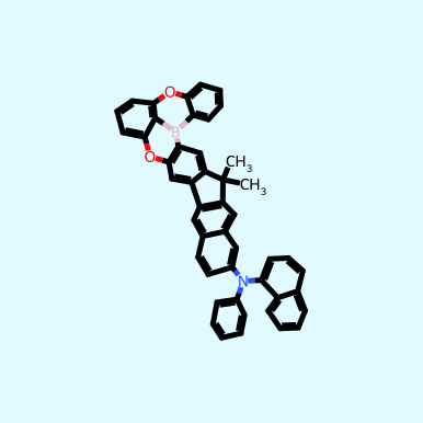 CC1(C)c2cc3c(cc2-c2cc4ccc(N(c5ccccc5)c5cccc6ccccc56)cc4cc21)Oc1cccc2c1B3c1ccccc1O2